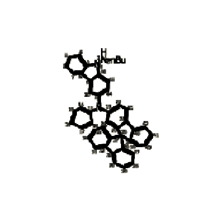 CCCCNn1c2ccccc2c2cc(N(c3ccccc3)c3ccc4c(c3)C3(c5ccccc5-c5ccccc53)c3ccccc3-4)ccc21